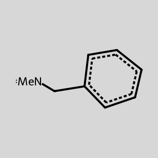 C[N+]Cc1ccccc1